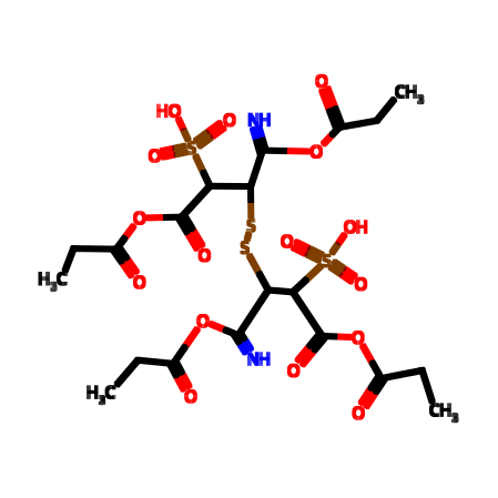 CCC(=O)OC(=N)C(SSC(C(=N)OC(=O)CC)C(C(=O)OC(=O)CC)S(=O)(=O)O)C(C(=O)OC(=O)CC)S(=O)(=O)O